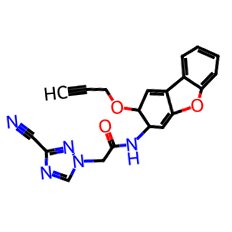 C#CCOC1C=c2c(oc3ccccc23)=CC1NC(=O)Cn1cnc(C#N)n1